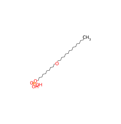 CCCCCCCCCCCCCCCOCCCCCCCCCCOP(=O)(O)O